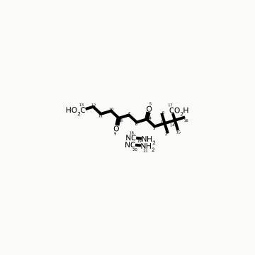 CC(C)(CC(=O)CCC(=O)CCCC(=O)O)C(C)(C)C(=O)O.N#CN.N#CN